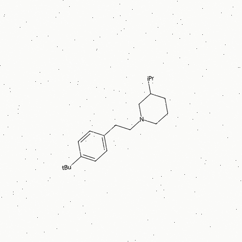 CC(C)C1CCCN(CCc2ccc(C(C)(C)C)cc2)C1